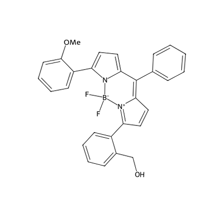 COc1ccccc1-c1ccc2n1[B-](F)(F)[N+]1=C(c3ccccc3CO)C=CC1=C2c1ccccc1